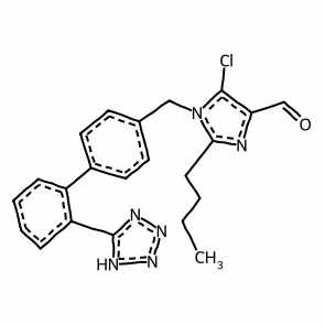 CCCCc1nc(C=O)c(Cl)n1Cc1ccc(-c2ccccc2-c2nnn[nH]2)cc1